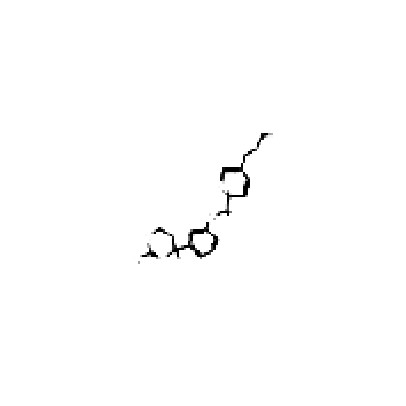 CC1(c2cccc(NC(=O)c3ccc(CCCO)cn3)c2)CCSC(N)=N1